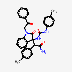 Cc1ccc(NC(=O)NC2(C(C(N)=O)c3ccc(C)cc3)C(=O)N(CC(=O)c3ccccc3)c3ccccc32)cc1